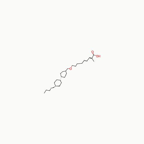 CCCCC[C@H]1CC[C@H](C2CCC(COCCCCCC/C=C(\C)C(=O)O)CC2)CC1